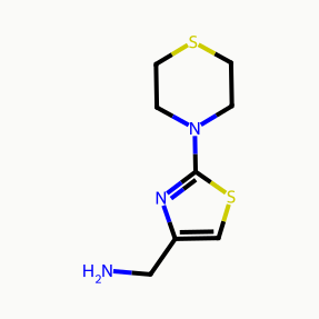 NCc1csc(N2CCSCC2)n1